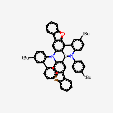 CC(C)(C)c1ccc(N2B3c4cc5c(cc4N(c4ccc(C(C)(C)C)cc4-c4ccccc4)c4cc6c(oc7ccccc76)c(c43)-c3cc(C(C)(C)C)ccc32)sc2ccccc25)cc1